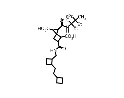 CCCC(C)(CC)C(C)(CC)NC(=O)C1C(C(=O)O)C12CC(C(=O)NCC1CCC1CCC1CCC1)C2C(=O)O